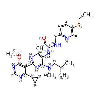 CCSc1ccc(CN/C(C=O)=N/c2c(C)nc(-c3c(OC)ncnc3C3CC3)nc2N(C)CC(C)C)nc1